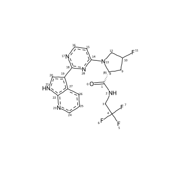 O=C(NCC(F)(F)F)[C@H]1CC(F)CN1c1ccnc(-c2c[nH]c3ncccc23)n1